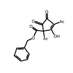 CC(=O)C1=C(O)C(C(C)=O)(C(=O)OCc2ccccc2)C(=O)C1=O